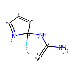 NC(=[Se])NC1(F)C=CC=N1